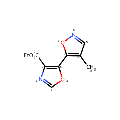 CCOC(=O)c1ncoc1-c1oncc1C